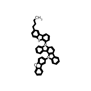 CCCCc1ccc2sc3c(-n4c5ccccc5c5c4ccc4c6ccccc6n(-c6ccc7oc8ccccc8c7c6)c45)cccc3c2c1